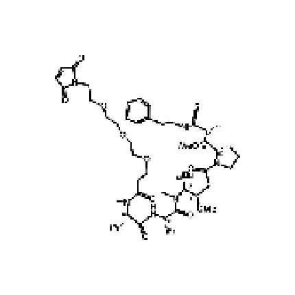 CC[C@H](C)[C@@H]([C@@H](CC(=O)N1CCC[C@H]1[C@H](OC)[C@@H](C)C(=S)NCCc1ccccc1)OC)N(C)C(=O)[C@@H](NC(=O)[C@H](C(C)C)N(C)C(=O)CCOCCOCCOCCN1C(=O)C=CC1=O)C(C)C